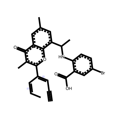 C#C/C=C(\C=C/C)c1oc2c(C(C)Nc3ccc(Br)cc3C(=O)O)cc(C)cc2c(=O)c1C